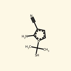 CC(C)(S)n1ccc(C#N)c1N